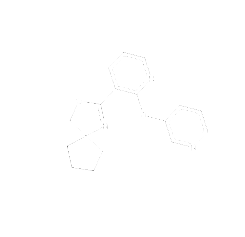 c1cncc(Oc2ncccc2C2=NC3(CCCC3)CO2)c1